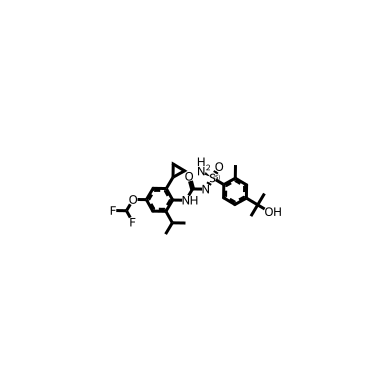 Cc1cc(C(C)(C)O)ccc1[S@@](N)(=O)=NC(=O)Nc1c(C(C)C)cc(OC(F)F)cc1C1CC1